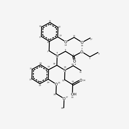 CCOC(=O)CN(Cc1ccccc1OCOC)C(c1ccccc1OCOC)N(CC)CC(=O)O